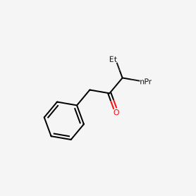 CCCC(CC)C(=O)Cc1ccccc1